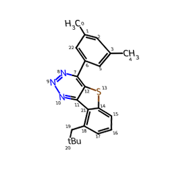 Cc1cc(C)cc(-c2nnnc3c2sc2cccc(CC(C)(C)C)c23)c1